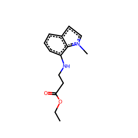 CCOC(=O)CCNc1cccc2ccn(C)c12